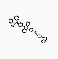 C(=C\c1ccc(-c2c3ccccc3c(-c3ccc(N(c4ccccc4)c4cccc5ccccc45)cc3)c3ccccc23)cc1)/c1ccc(-c2cccc3ccccc23)cc1